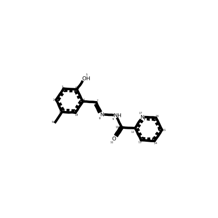 Cc1ccc(O)c(C=NNC(=O)c2ccccn2)c1